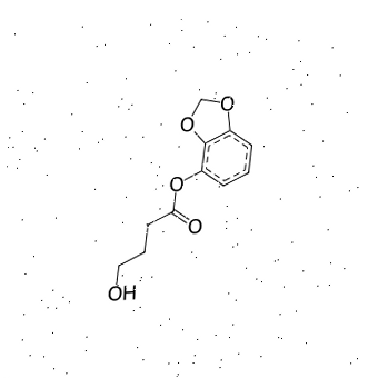 O=C(CCCO)Oc1cccc2c1OCO2